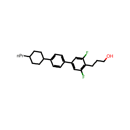 CCCC1CCC(c2ccc(-c3cc(F)c(CCCO)c(F)c3)cc2)CC1